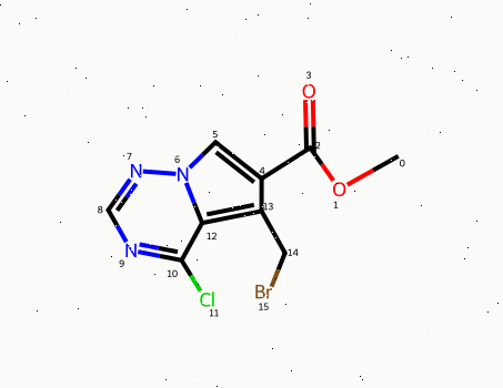 COC(=O)c1cn2ncnc(Cl)c2c1CBr